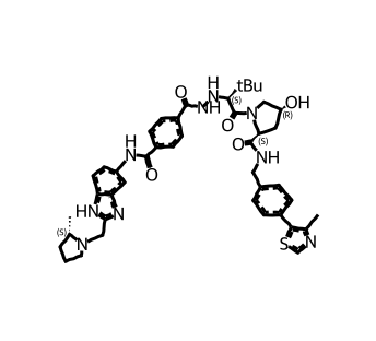 Cc1ncsc1-c1ccc(CNC(=O)[C@@H]2C[C@@H](O)CN2C(=O)[C@@H](NNC(=O)c2ccc(C(=O)Nc3ccc4[nH]c(CN5CCC[C@@H]5C)nc4c3)cc2)C(C)(C)C)cc1